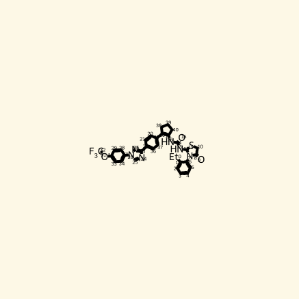 CCc1ccccc1N1C(=O)CSC1NC(=O)NC1=C(c2ccc(-c3ncn(-c4ccc(OC(F)(F)F)cc4)n3)cc2)CCC1